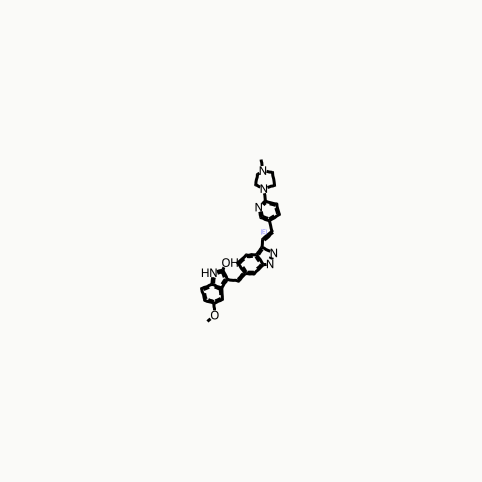 COc1ccc2[nH]c(O)c(C=c3ccc4c(c3)N=NC=4/C=C/c3ccc(N4CCN(C)CC4)nc3)c2c1